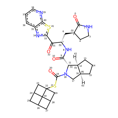 O=C1NCC[C@H]1C[C@H](NC(=O)[C@@H]1[C@H]2CCC[C@H]2CN1C(=O)SC12CC3CC4CC(C1)C432)C(=O)c1nc2cccnc2s1